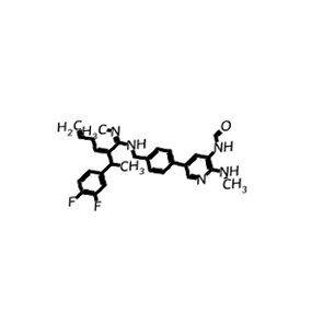 C=CC/C=C(\C(=N/C)NCc1ccc(-c2cnc(NC)c(NC=O)c2)cc1)C(C)c1ccc(F)c(F)c1